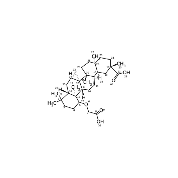 CC1(C)CCC(OCC(=O)O)[C@]2(C)[C@H]3CC=C4[C@@H]5C[C@@](C)(C(=O)O)CC[C@]5(C)CC[C@@]4(C)[C@]3(C)CC[C@@H]12